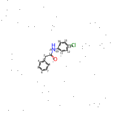 O=C([CH]c1ccccc1)Nc1ccc(Cl)cc1